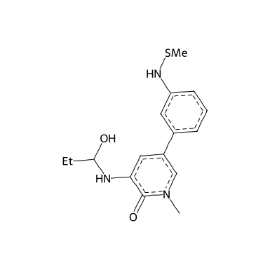 CCC(O)Nc1cc(-c2cccc(NSC)c2)cn(C)c1=O